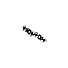 CC(C)(C)C1CC2(CCN(C(C)(C)CCC(C)(C)C3CCC4(CC3)CN(C(C)(C)C)C4)CC2)C1